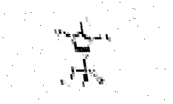 COP(=O)([O-])OC.Cc1n(C)cc[n+]1C